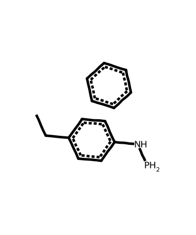 CCc1ccc(NP)cc1.c1ccccc1